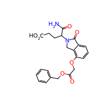 NC(=O)C(CCC(=O)O)N1Cc2c(OCC(=O)OCc3ccccc3)cccc2C1=O